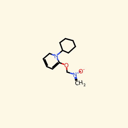 C=[N+]([O-])COC1=CC=CCN1C1CCCCC1